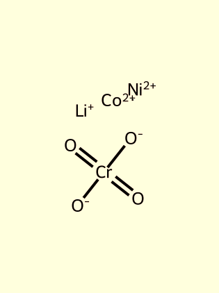 [Co+2].[Li+].[Ni+2].[O]=[Cr](=[O])([O-])[O-]